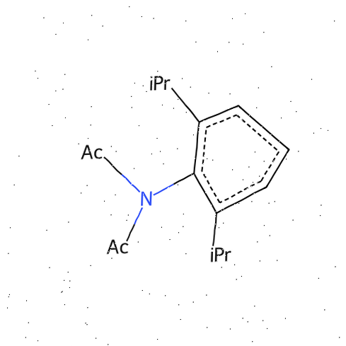 CC(=O)N(C(C)=O)c1c(C(C)C)cccc1C(C)C